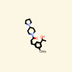 COc1cc(/C=C\C(=O)N2CCC(N3CCCC3)CC2)cc(C(C)O)c1